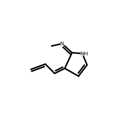 C=C/C=C1/C=CN/C1=N/C